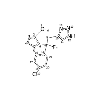 COc1ccsc1C(F)(Cc1c[nH]nn1)c1ccc(Cl)cc1